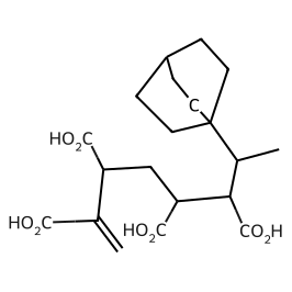 C=C(C(=O)O)C(CC(C(=O)O)C(C(=O)O)C(C)C12CCC(CC1)CC2)C(=O)O